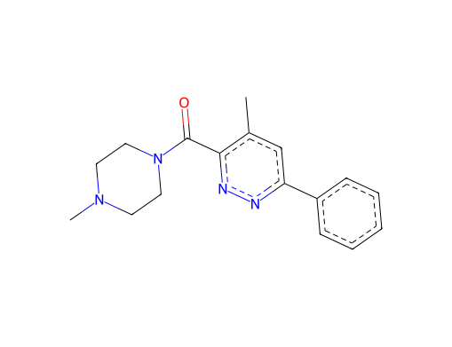 Cc1cc(-c2ccccc2)nnc1C(=O)N1CCN(C)CC1